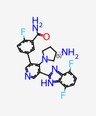 NC(=O)c1cc(-c2cncc(-c3nc4c(F)ccc(F)c4[nH]3)c2N2CC[C@H](N)C2)ccc1F